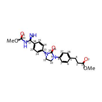 COC(=O)CCc1ccc(N2CCN(c3ccc(C(=N)NC(=O)OC)cc3)C2=O)cc1